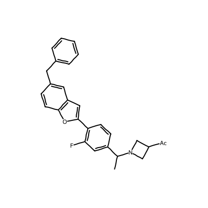 CC(=O)C1CN(C(C)c2ccc(-c3cc4cc(Cc5ccccc5)ccc4o3)c(F)c2)C1